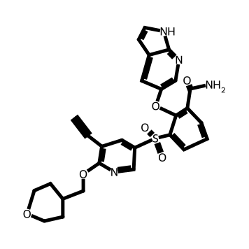 C#Cc1cc(S(=O)(=O)c2cccc(C(N)=O)c2Oc2cnc3[nH]ccc3c2)cnc1OCC1CCOCC1